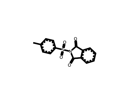 Cc1ccc(S(=O)(=O)N2C(=O)c3ccccc3C2=O)cc1